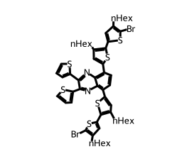 CCCCCCc1cc(-c2sc(-c3ccc(-c4cc(CCCCCC)c(-c5cc(CCCCCC)c(Br)s5)s4)c4nc(-c5cccs5)c(-c5cccs5)nc34)cc2CCCCCC)sc1Br